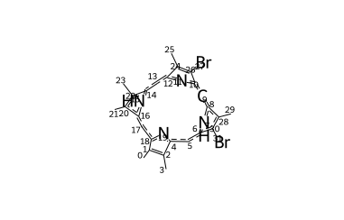 CC1=C(C)c2cc3[nH]c(cc4nc(cc5[nH]c(cc1n2)c(C)c5C)C(C)=C4Br)c(C)c3Br